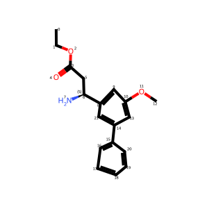 CCOC(=O)C[C@H](N)c1cc(OC)cc(-c2ccccc2)c1